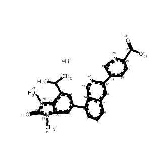 CC(C)c1cc(-c2cccc3cc(-c4ccc(C(=O)[O-])nc4)ncc23)cc2c1n(C)c(=O)n2C.[Li+]